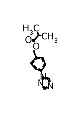 CC(C)C(=O)OCc1ccc(-n2cncn2)cc1